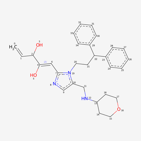 C=CC(O)/C(O)=C/c1ncc(CNC2CCOCC2)n1CCC(c1ccccc1)c1ccccc1